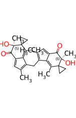 CC1=C(CC2=C(C)C=C3C(=O)[C@@](C)(O)C4(CC4)C(C)=C32)C2=C(C)C3(CC3)[C@](C)(O)C(=O)C2=C1